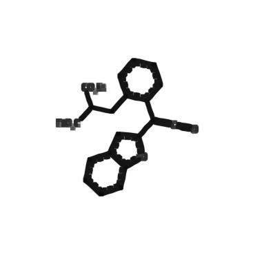 CCOC(=O)C(Cc1ccccc1C(=C=O)c1cc2ccccc2o1)C(=O)OCC